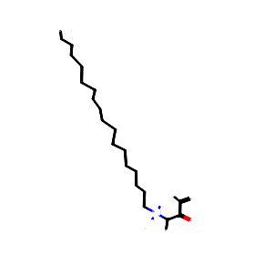 C=C(C)C(=O)C(C)[N+](C)(C)CCCCCCCCCCCCCCCCCC.[Cl-]